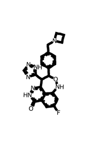 O=c1[nH]nc2c3c(cc(F)cc13)NOC(c1ccc(CN3CCC3)cc1)C2c1ncn[nH]1